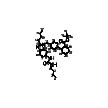 CCCCNC(=O)Nc1ccc2nc(CCCC)n(Cc3ccc(-c4ccccc4C(=O)OC(C)(C)C)cc3)c2c1